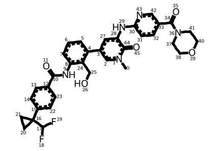 Cn1cc(-c2cccc(NC(=O)c3ccc(C4(C(F)F)CC4)cc3)c2CO)cc(Nc2ccc(C(=O)N3CCOCC3)cn2)c1=O